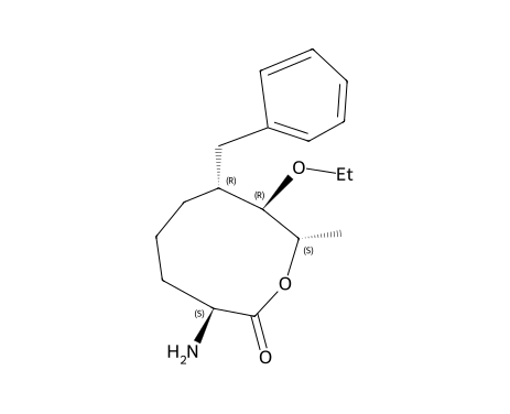 CCO[C@@H]1[C@@H](Cc2ccccc2)CCC[C@H](N)C(=O)O[C@H]1C